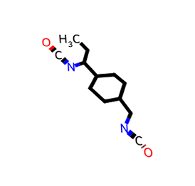 CCC(N=C=O)C1CCC(CN=C=O)CC1